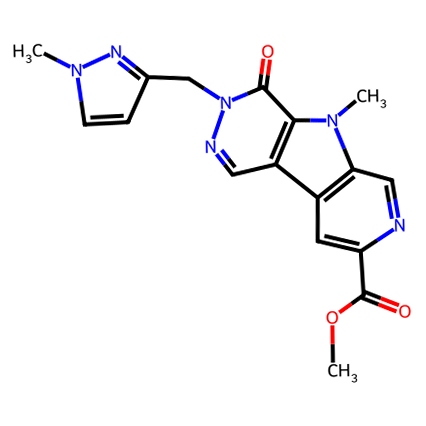 COC(=O)c1cc2c3cnn(Cc4ccn(C)n4)c(=O)c3n(C)c2cn1